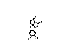 O=C1CC[C@H]2[C@@H](c3ccc(Cl)c(Cl)c3)CC(=O)N12